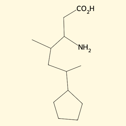 CC(CC(C)C1CCCC1)C(N)CC(=O)O